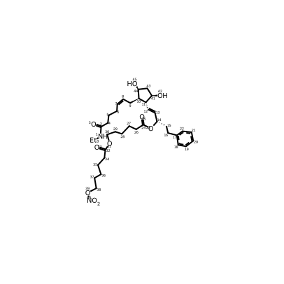 CCNC(=O)CCC/C=C\C[C@@H]1[C@@H](/C=C/[C@H](CCc2ccccc2)OC(=O)CCCCCOC(=O)CCCCCO[N+](=O)[O-])[C@H](O)C[C@@H]1O